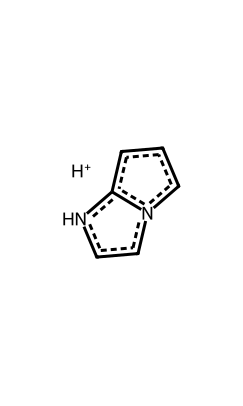 [H+].c1cc2[nH]ccn2c1